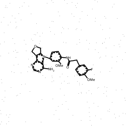 COc1ccc(CC(=O)Nc2ccc(-n3c4c(c5ncnc(N)c53)COC4)cc2OC)cc1F